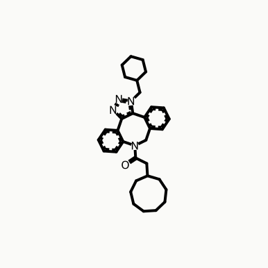 O=C(CC1CCCCCCCC1)N1Cc2ccccc2-c2c(nnn2CC2CCCCC2)-c2ccccc21